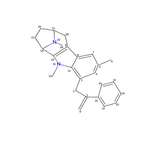 C=C(Cc1cc(C)cc2c3c(n(C)c12)C1CCC(C3)N1C)c1ccccc1